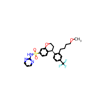 COCCCCc1cc(C(F)(F)F)ccc1[C@@H]1CCOc2cc(S(=O)(=O)Nc3ncccn3)ccc21